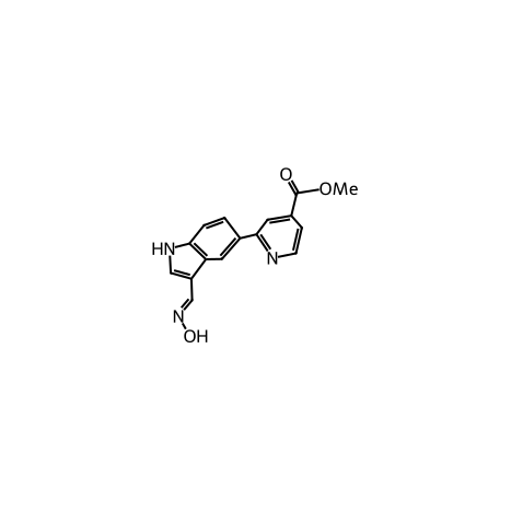 COC(=O)c1ccnc(-c2ccc3[nH]cc(C=NO)c3c2)c1